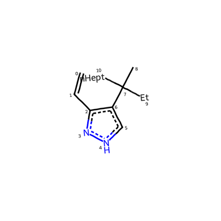 C=Cc1n[nH]cc1C(C)(CC)CCCCCCC